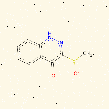 C[S+]([O-])c1n[nH]c2ccccc2c1=O